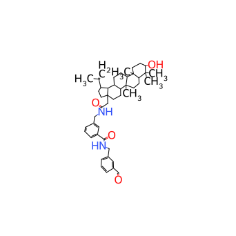 C=C(C)C1CCC2(CC(=O)NCc3cccc(C(=O)NCc4cccc(C=O)c4)c3)CCC3C(CCC4C3(C)CCC3C(C)(C)C(O)CCC34C)C12